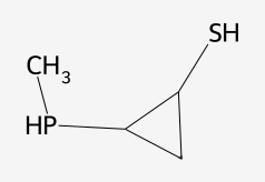 CPC1CC1S